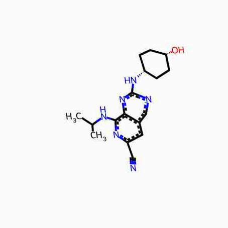 CC(C)Nc1nc(C#N)cc2cnc(N[C@H]3CC[C@@H](O)CC3)nc12